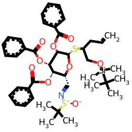 C=CCC(CO[Si](C)(C)C(C)(C)C)S[C@H]1O[C@H](/C=N/[S@+]([O-])C(C)(C)C)[C@H](OC(=O)c2ccccc2)[C@H](OC(=O)c2ccccc2)[C@H]1OC(=O)c1ccccc1